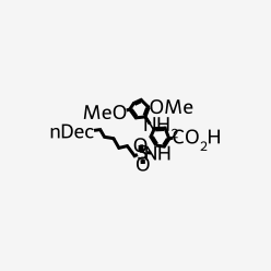 CCCCCCCCCCCCCCCCS(=O)(=O)Nc1cccc(C(=O)O)c1.COc1ccc(OC)c(N)c1